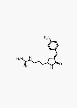 N=C(N)NCCCC1C/C(=C\c2ccc(C(F)(F)F)cc2)C(=O)N1